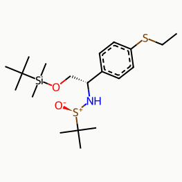 CCSc1ccc([C@@H](CO[Si](C)(C)C(C)(C)C)N[S@+]([O-])C(C)(C)C)cc1